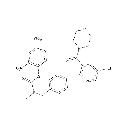 CN(Cc1ccccc1)C(=S)Sc1ccc([N+](=O)[O-])cc1[N+](=O)[O-].S=C(c1cccc(Cl)c1)N1CCOCC1